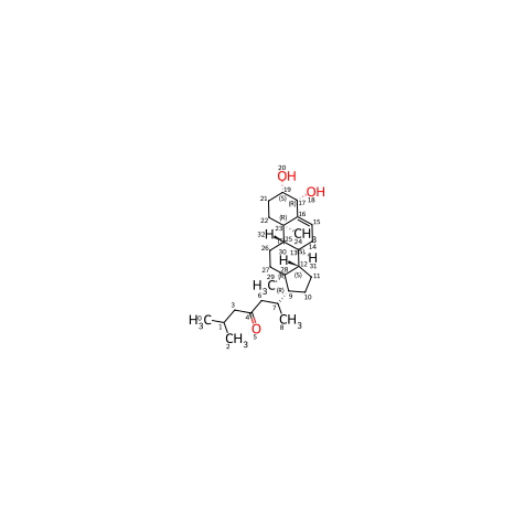 CC(C)CC(=O)CC(C)[C@H]1CC[C@H]2[C@@H]3CC=C4[C@@H](O)[C@@H](O)CC[C@]4(C)[C@H]3CC[C@]12C